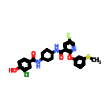 CSc1cccc(Oc2ncc(F)cc2C(=O)NC2CCC(NC(=O)c3ccc(O)c(Cl)c3)CC2)c1